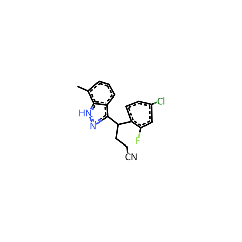 Cc1cccc2c(C(CCC#N)c3ccc(Cl)cc3F)n[nH]c12